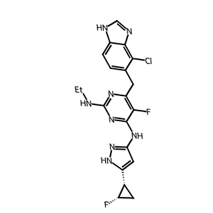 CCNc1nc(Cc2ccc3[nH]cnc3c2Cl)c(F)c(Nc2cc([C@@H]3C[C@@H]3F)[nH]n2)n1